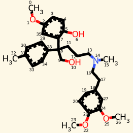 COc1ccc(O)c(C(CO)(CCCN(C)CCc2ccc(OC)c(OC)c2)c2ccc(C)cc2)c1